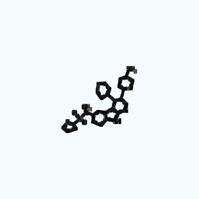 CN(c1ccc2[nH]c3ncc(-c4ccc(N)cc4)c(-c4ccccc4)c3c2c1)S(=O)(=O)c1cccs1